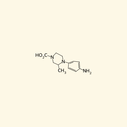 CC1CN(C(=O)O)CCN1c1ccc(N)cc1